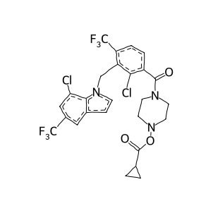 O=C(ON1CCN(C(=O)c2ccc(C(F)(F)F)c(Cn3ccc4cc(C(F)(F)F)cc(Cl)c43)c2Cl)CC1)C1CC1